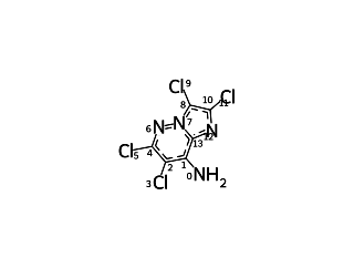 Nc1c(Cl)c(Cl)nn2c(Cl)c(Cl)nc12